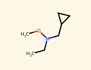 CCN(CC1CC1)OC